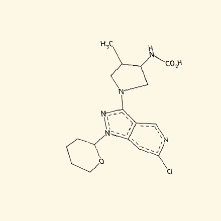 CC1CN(c2nn(C3CCCCO3)c3cc(Cl)ncc23)CC1NC(=O)O